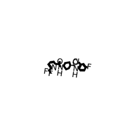 O=C(N[C@H]1CC[C@H](C(=O)Nc2ccc(F)cc2Cl)CC1)c1cccc(C(F)F)n1